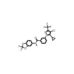 CN(C(=O)c1cccc(-n2nc(C(F)(F)F)c(Cl)c2C2CC2)c1)c1ccc2c(c1)OC(F)(F)O2